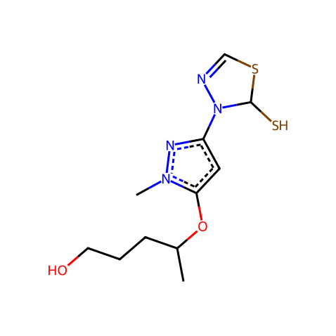 CC(CCCO)Oc1cc(N2N=CSC2S)nn1C